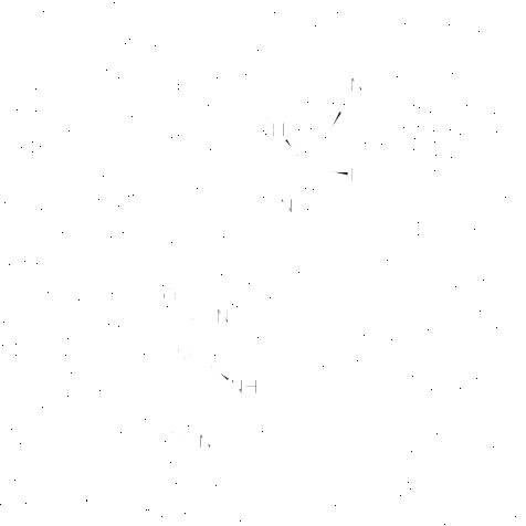 CC1N(c2ccc(N3C[C@@H]4[C@@H](C#N)[C@@H]4C3)cc2)C(=O)O[C@]12Nc1nocc12